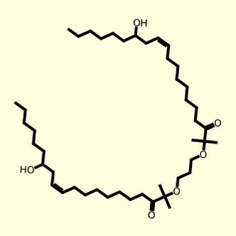 CCCCCCC(O)C/C=C\CCCCCCCC(=O)C(C)(C)OCCCOC(C)(C)C(=O)CCCCCCC/C=C\CC(O)CCCCCC